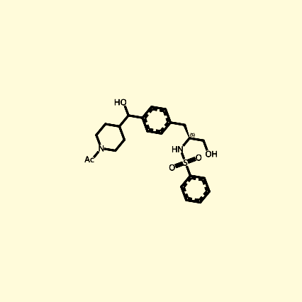 CC(=O)N1CCC(C(O)c2ccc(C[C@@H](CO)NS(=O)(=O)c3ccccc3)cc2)CC1